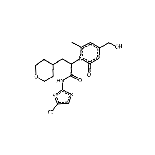 Cc1cc(CO)cc(=O)n1C(CC1CCOCC1)C(=O)Nc1ncc(Cl)s1